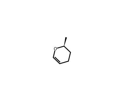 C[C@H]1CCC=CO1